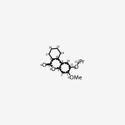 COc1cc2oc(=O)c3c(c2cc1OC(C)C)CCCC3